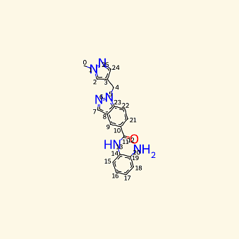 Cn1cc(Cn2ncc3cc(C(=O)Nc4ccccc4N)ccc32)cn1